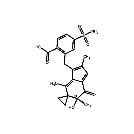 CC1=C(Cc2cc(S(N)(=O)=O)ccc2C(=O)O)C2=C(C)C3(CC3)[C@@](C)(O)C(=O)C2=C1